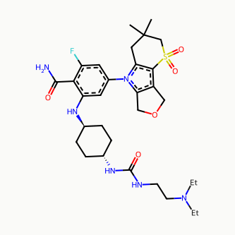 CCN(CC)CCNC(=O)N[C@H]1CC[C@H](Nc2cc(-n3c4c(c5c3CC(C)(C)CS5(=O)=O)COC4)cc(F)c2C(N)=O)CC1